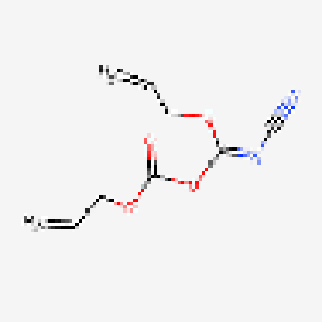 C=CCOC(=O)O/C(=N/C#N)OCC=C